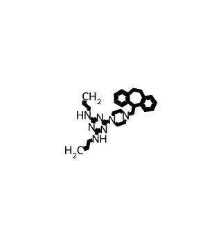 C=CCNc1nc(NCC=C)nc(N2CCN(CC3c4ccccc4CCc4ccccc43)CC2)n1